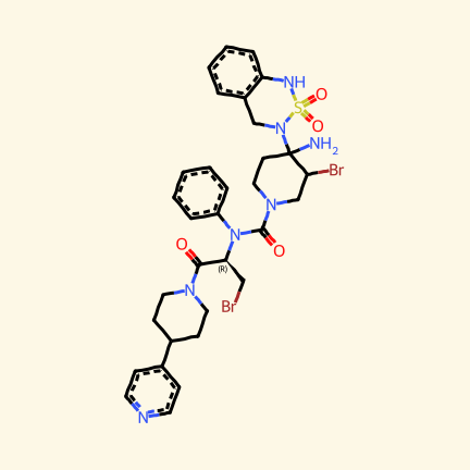 NC1(N2Cc3ccccc3NS2(=O)=O)CCN(C(=O)N(c2ccccc2)[C@@H](CBr)C(=O)N2CCC(c3ccncc3)CC2)CC1Br